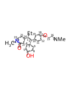 CC/C(=C(/c1ccc(O)cc1)c1ccc(OCCNC)cc1)c1ccn(C)c(=O)c1